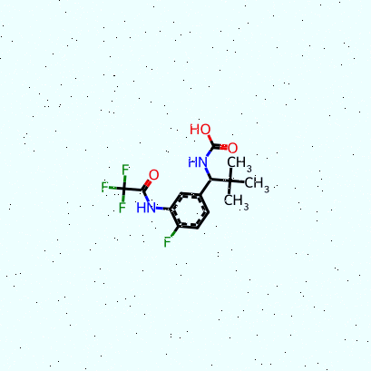 CC(C)(C)C(NC(=O)O)c1ccc(F)c(NC(=O)C(F)(F)F)c1